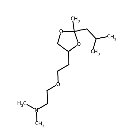 CC(C)CC1(C)OCC(CCOCCN(C)C)O1